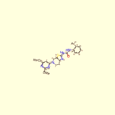 COc1cc(N2CCc3nc(NC(=O)Nc4ccccc4C(C)=O)sc3C2)nc(OC)n1